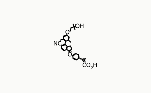 Cc1cc(OCCC(C)(C)O)cc(C)c1-c1c(C#N)ccc2c1CC[C@H]2Oc1ccc([C@H]2C[C@@H]2C(=O)O)cc1